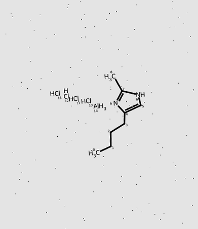 CCCCc1c[nH]c(C)n1.Cl.Cl.Cl.Cl.[AlH3]